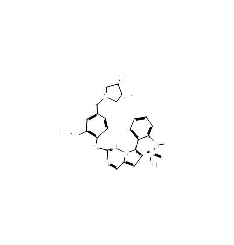 COc1cc(CN2C[C@@H](O)[C@H](O)C2)ccc1Nc1ncc2ccc(-c3ccccc3N(C)S(C)(=O)=O)n2n1